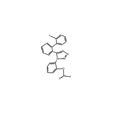 Fc1ccccc1-c1ccccc1-c1nnnn1-c1ccccc1OC(F)F